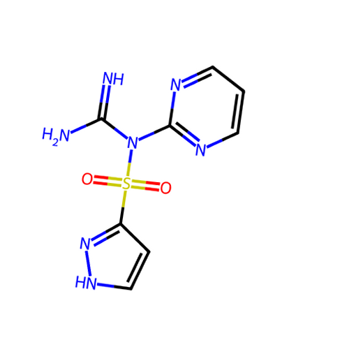 N=C(N)N(c1ncccn1)S(=O)(=O)c1cc[nH]n1